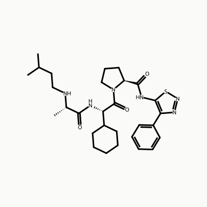 CC(C)CCN[C@@H](C)C(=O)N[C@H](C(=O)N1CCC[C@H]1C(=O)Nc1snnc1-c1ccccc1)C1CCCCC1